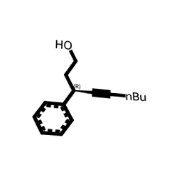 CCCCC#C[C@H](CCO)c1ccccc1